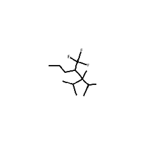 CCCC(C(F)(F)F)C(C)(C(C)C)C(C)C